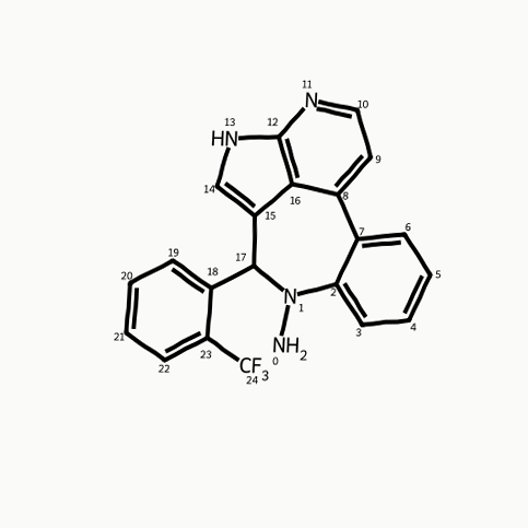 NN1c2ccccc2-c2ccnc3[nH]cc(c23)C1c1ccccc1C(F)(F)F